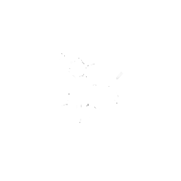 C#CC(COP(=O)(O)OP(=O)(O)OP(=O)(O)O)(O[C@H](C)n1ccc(N)nc1=O)[C@@H](O)F